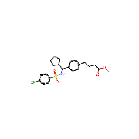 COC(=O)CCCc1ccc(C(NS(=O)(=O)c2ccc(Cl)cc2)C2CCCC2)cc1